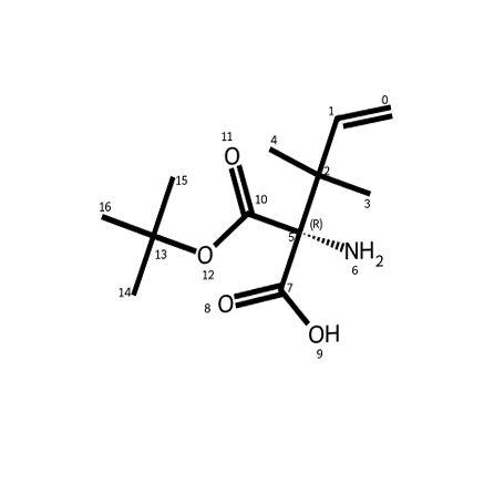 C=CC(C)(C)[C@@](N)(C(=O)O)C(=O)OC(C)(C)C